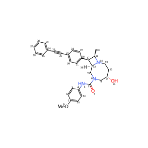 COc1ccc(NC(=O)N2C[C@@H](O)CCN3[C@H](C)[C@H](c4ccc(C#Cc5ccccc5)cc4)[C@@H]3C2)cc1